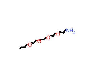 CCCCOCCCOCCCOCCCOCCCN